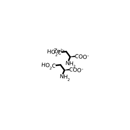 N[C@@H](CC(=O)O)C(=O)[O-].N[C@@H](CC(=O)O)C(=O)[O-].[Zn+2]